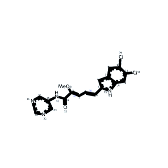 CO/C(=C\C=C\c1cc2cc(Cl)c(Cl)cc2[nH]1)C(=O)Nc1cncnc1